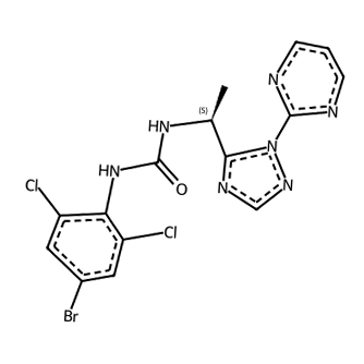 C[C@H](NC(=O)Nc1c(Cl)cc(Br)cc1Cl)c1ncnn1-c1ncccn1